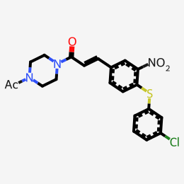 CC(=O)N1CCN(C(=O)C=Cc2ccc(Sc3cccc(Cl)c3)c([N+](=O)[O-])c2)CC1